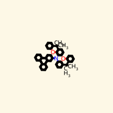 CC1(C)c2ccccc2Oc2c(N(c3ccc4c5ccccc5c5ccccc5c4c3)c3cccc4c3Oc3ccccc3C4(C)C)cccc21